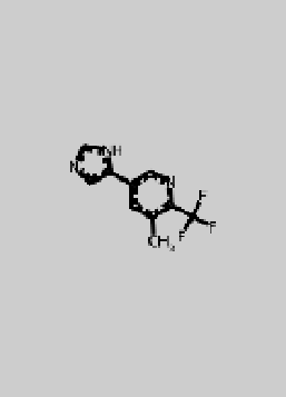 Cc1cc(-c2cnc[nH]2)cnc1C(F)(F)F